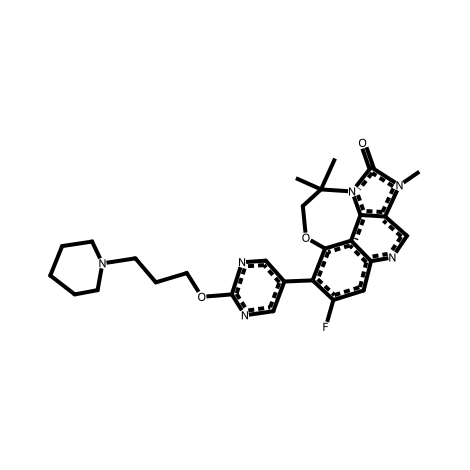 Cn1c(=O)n2c3c4c(c(-c5cnc(OCCCN6CCCCC6)nc5)c(F)cc4ncc31)OCC2(C)C